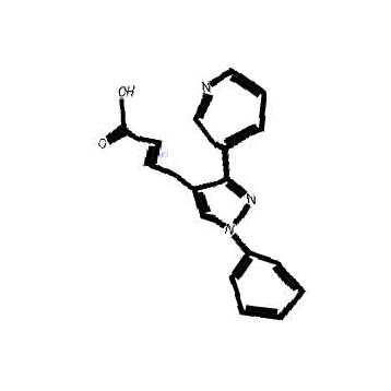 O=C(O)/C=C/c1cn(-c2ccccc2)nc1-c1cccnc1